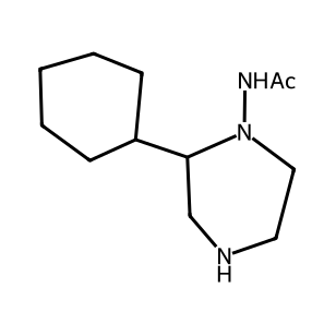 CC(=O)NN1CCNCC1C1CCCCC1